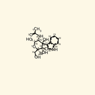 CC(=O)N[C@@H]1[C@@H](O)O[C@](Br)(CO)[C@](O)(Cl)[C@@]1(O)c1c[nH]c2ccccc12